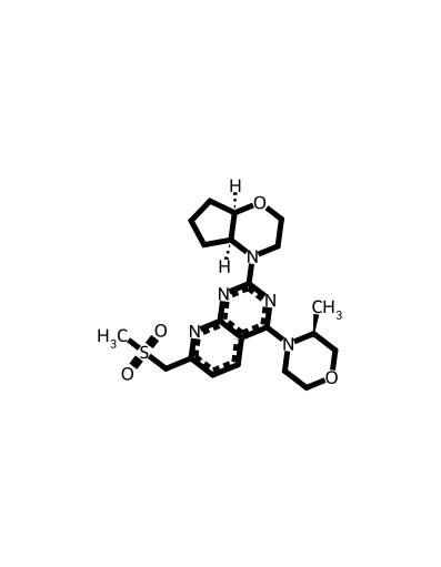 C[C@H]1COCCN1c1nc(N2CCO[C@@H]3CCC[C@@H]32)nc2nc(CS(C)(=O)=O)ccc12